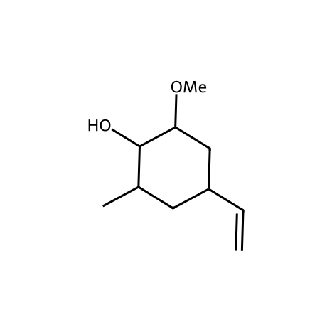 C=CC1CC(C)C(O)C(OC)C1